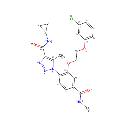 CCNC(=O)c1ccc(-n2nnc(C(=O)NC3CC3)c2C)c(OCCOc2cccc(Cl)c2)c1